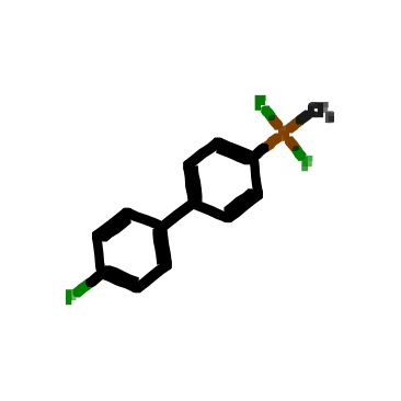 Fc1ccc(-c2ccc(S(F)(F)C(F)(F)F)cc2)cc1